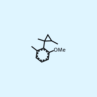 COc1cccc(C)c1C1(C)CC1C